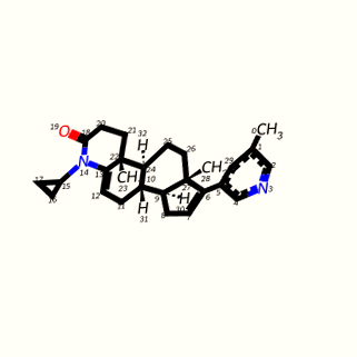 Cc1cncc(C2=CC[C@H]3[C@@H]4CC=C5N(C6CC6)C(=O)CC[C@]5(C)[C@H]4CC[C@]23C)c1